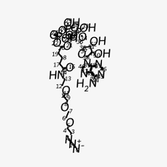 [N-]=[N+]=NCCOCCOCCOCCNC(=O)CCCC(=O)OP(=O)(O)OP(=O)(O)OP(=O)(O)OC[C@H]1O[C@@H](n2cnc3c(N)ncnc32)[C@@H](O)C1O